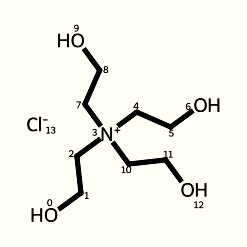 OCC[N+](CCO)(CCO)CCO.[Cl-]